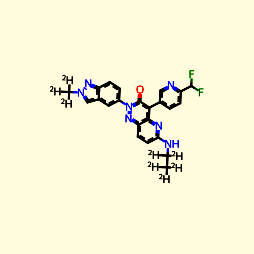 [2H]C([2H])([2H])n1cc2cc(-n3nc4ccc(NC([2H])([2H])C([2H])([2H])[2H])nc4c(-c4ccc(C(F)F)nc4)c3=O)ccc2n1